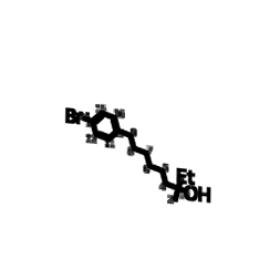 CCC(C)(O)CCCCCCc1ccc(Br)cc1